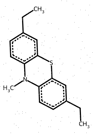 CCc1ccc2c(c1)Sc1cc(CC)ccc1N2C